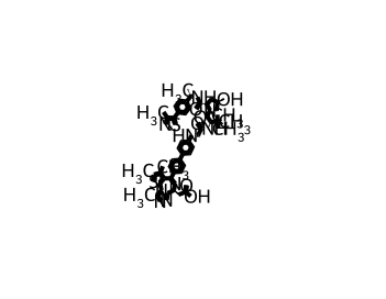 Cc1ncsc1-c1ccc([C@H](C)NC(=O)[C@@H]2C[C@@H](O)CN2C(=O)[C@@H](NC(=O)CNc2ccc(-c3ccc(C4=N[C@@H](CC(=O)O)c5nnc(C)n5-c5sc(C)c(C)c54)cc3)cc2)C(C)(C)C)cc1